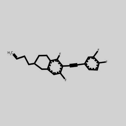 C=CCCC1CCc2c(cc(F)c(C#Cc3ccc(F)c(F)c3)c2F)C1